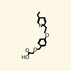 CCc1ccc(CCOc2ccc(COCC(=O)O)cc2)nc1